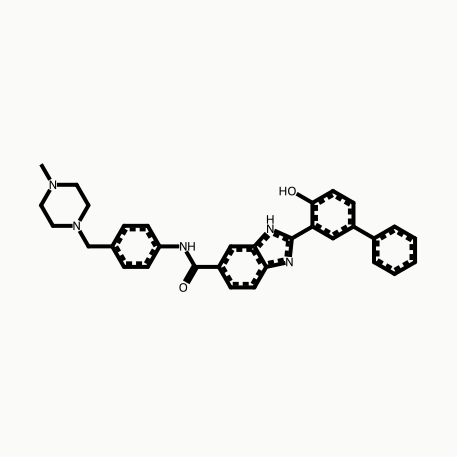 CN1CCN(Cc2ccc(NC(=O)c3ccc4nc(-c5cc(-c6ccccc6)ccc5O)[nH]c4c3)cc2)CC1